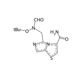 CC(C)(C)ON(C=O)Cc1ncc2scc(C(N)=O)n12